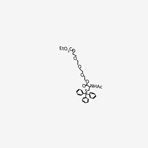 C[CH]OC(=O)OCCOCCOCCOCCOC(=O)[C@H](CSC(c1ccccc1)(c1ccccc1)c1ccccc1)NC(C)=O